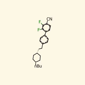 CCCC[C@H]1CC[C@H](CCc2ccc(-c3ccc(C#N)c(F)c3F)cc2)CC1